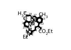 CCOC(=O)CC(CCc1cn(CC)nn1)c1ccc(C)c(CN2C[C@@H](C)Oc3cccnc3S2(=O)=O)c1